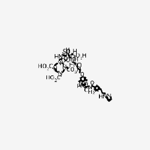 Cc1cc(OCCCC(=O)NCCNC(=O)[C@H](CS(=O)(=O)O)NC(=O)[C@H](CS(=O)(=O)O)NC(=O)CN2CCN(CC(=O)O)CCN(CC(=O)O)CCN(CC(=O)O)CC2)cc(C)c1S(=O)(=O)N[C@@H](CNC(=O)c1ccc(CCCNc2ccccn2)cc1)C(=O)O